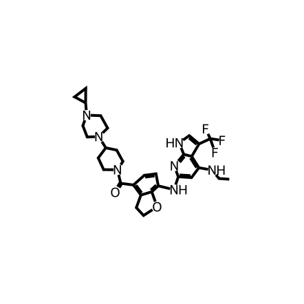 CCNc1cc(Nc2ccc(C(=O)N3CCC(N4CCN(C5CC5)CC4)CC3)c3c2OCC3)nc2[nH]cc(C(F)(F)F)c12